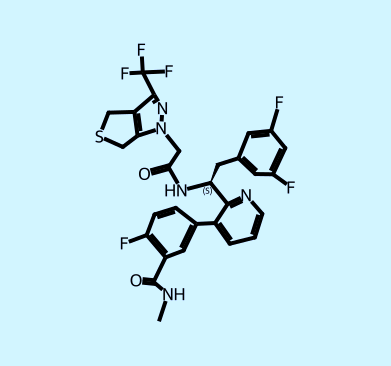 CNC(=O)c1cc(-c2cccnc2[C@H](Cc2cc(F)cc(F)c2)NC(=O)Cn2nc(C(F)(F)F)c3c2CSC3)ccc1F